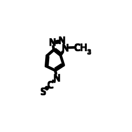 Cn1nnc2ccc(N=C=S)cc21